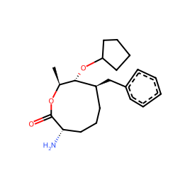 C[C@@H]1OC(=O)[C@@H](N)CCC[C@H](Cc2ccccc2)[C@H]1OC1CCCC1